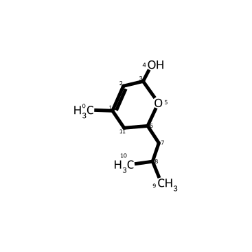 CC1=CC(O)OC(CC(C)C)C1